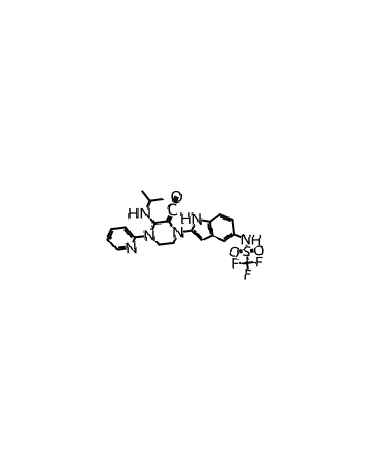 CC(C)NC1C(=C=O)N(c2cc3cc(NS(=O)(=O)C(F)(F)F)ccc3[nH]2)CCN1c1ccccn1